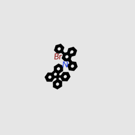 Brc1ccccc1-c1cc2c(c3ccccc13)c1ccccc1n2-c1ccc2c(c1)C(c1ccccc1)(c1ccccc1)c1ccccc1-2